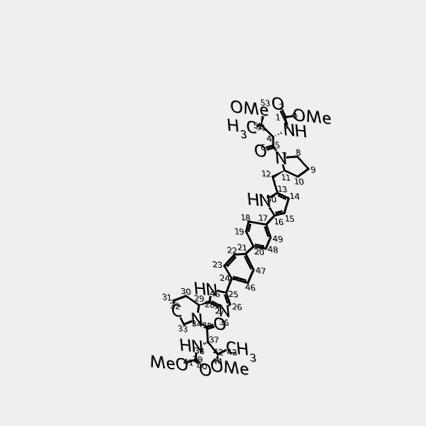 COC(=O)N[C@H](C(=O)N1CCC[C@H]1Cc1ccc(-c2ccc(-c3ccc(-c4cnc([C@@H]5CCCCN5C(=O)[C@@H](NC(=O)OC)[C@@H](C)OC)[nH]4)cc3)cc2)[nH]1)[C@@H](C)OC